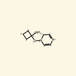 NC1(ON2C=CN=CC2)CCC1